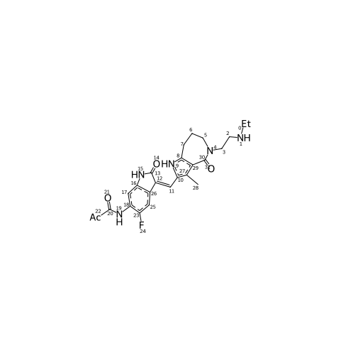 CCNCCN1CCCc2[nH]c(/C=C3\C(=O)Nc4cc(NC(=O)C(C)=O)c(F)cc43)c(C)c2C1=O